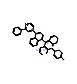 C=C1CCC=C/C1=C(C(/C=C\C)=C(/C)CC1C=CC(C)=CC1)\c1ccc(-c2ccnc(-c3ccccc3)c2)c2ccccc12